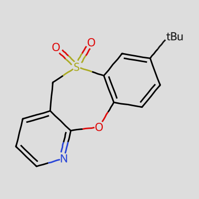 CC(C)(C)c1ccc2c(c1)S(=O)(=O)Cc1cccnc1O2